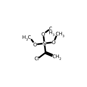 C=C(Cl)[Si](OC)(OC)OC